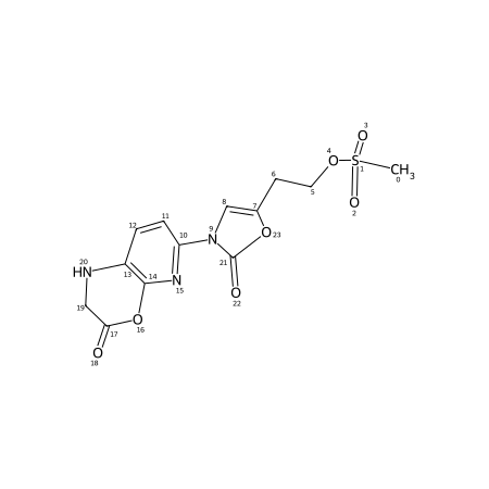 CS(=O)(=O)OCCc1cn(-c2ccc3c(n2)OC(=O)CN3)c(=O)o1